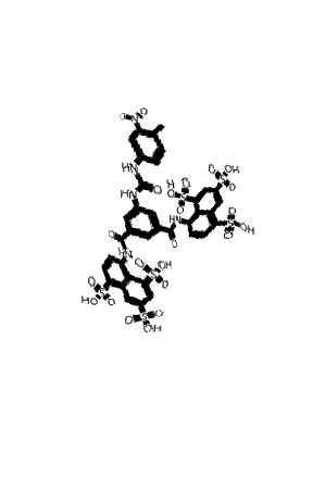 Cc1ccc(NC(=O)Nc2cc(C(=O)Nc3ccc(S(=O)(=O)O)c4cc(S(=O)(=O)O)cc(S(=O)(=O)O)c34)cc(C(=O)Nc3ccc(S(=O)(=O)O)c4cc(S(=O)(=O)O)cc(S(=O)(=O)O)c34)c2)cc1[N+](=O)[O-]